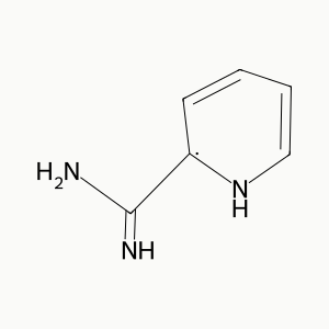 N=C(N)[C]1C=CC=CN1